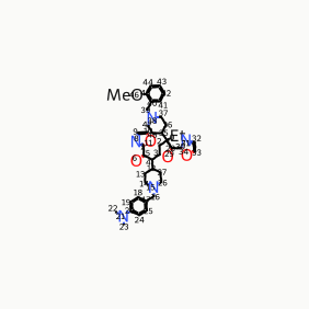 CCC(CCC(C(=O)c1ncco1)C1CCN(Cc2ccc(N(C)C)cc2)CC1)(C(=O)c1ncco1)C1CCN(Cc2ccccc2OC)CC1